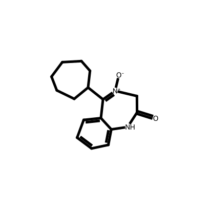 O=C1C[N+]([O-])=C(C2CCCCCC2)c2ccccc2N1